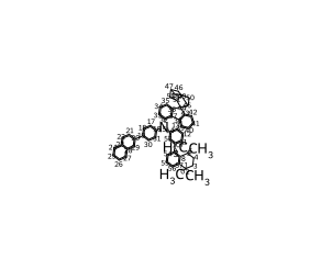 CC1(C)CCC(C)(C)c2c(-c3cccc(N(c4ccc(-c5ccc6ccccc6c5)cc4)c4cccc5c4-c4ccccc4C54C5CC6CC(C5)C4C6)c3)cccc21